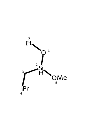 CCO[SiH](CC(C)C)OC